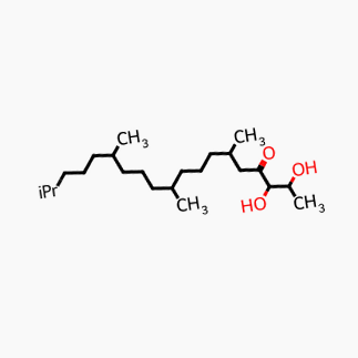 CC(C)CCCC(C)CCCC(C)CCCC(C)CC(=O)C(O)C(C)O